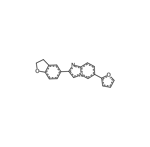 c1coc(-c2ccc3nc(-c4ccc5c(c4)CCO5)cn3c2)c1